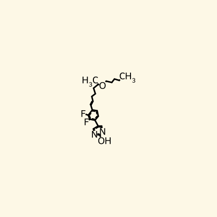 CCCCCOC(C)CCC/C=C/c1ccc(-c2cnc(O)nc2)c(F)c1F